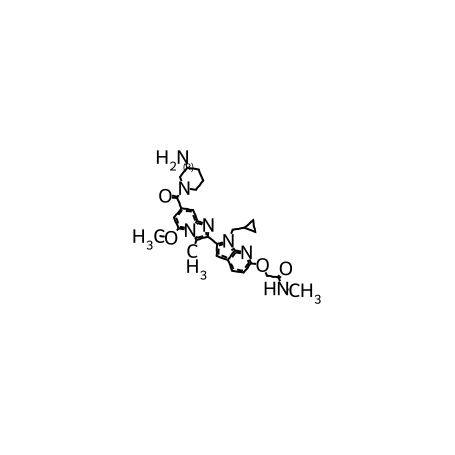 CNC(=O)COc1ccc2cc(-c3nc4cc(C(=O)N5CCC[C@@H](N)C5)cc(OC)n4c3C)n(CC3CC3)c2n1